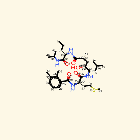 CCC[C@H](NC(=O)[C@H](C)C[C@H](O)[C@H](CC(C)C)NC(=O)[C@H](CCSC)NC(=O)c1cccc(C)c1C)C(=O)NC(C)C